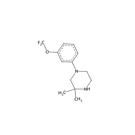 CC1(C)CN(c2cccc(OC(F)(F)F)c2)CCN1